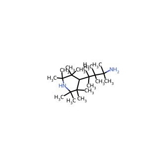 CC(C)(N)C(C)(C)C(C)(C)C1C(C)(C)C(C)(C)NC(C)(C)C1(C)C